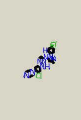 Cc1cc(Nc2ccnc(Nc3ccc(N4CCN(C)CC4)c(Cl)c3)n2)n(-c2ccc(Cl)cc2)n1